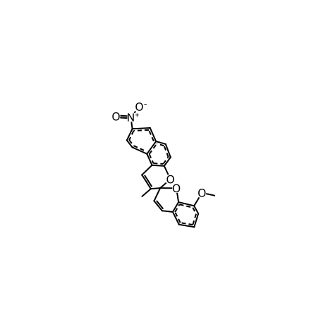 COc1cccc2c1OC1(C=C2)Oc2ccc3cc([N+](=O)[O-])ccc3c2C=C1C